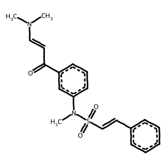 CN(C)C=CC(=O)c1cccc(N(C)S(=O)(=O)C=Cc2ccccc2)c1